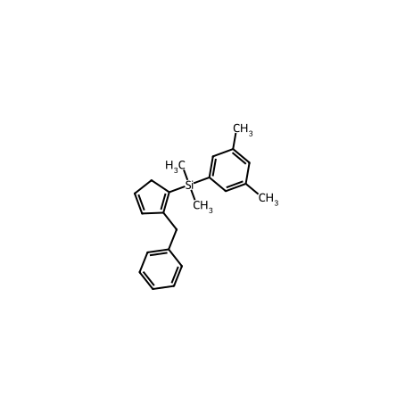 Cc1cc(C)cc([Si](C)(C)C2=C(Cc3ccccc3)C=CC2)c1